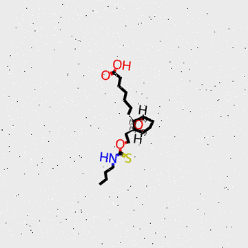 CCCCNC(=S)OCC[C@H]1[C@H](CCCCCCC(=O)O)[C@H]2CC[C@@H]1O2